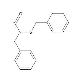 O=[C]N(Cc1ccccc1)SCc1ccccc1